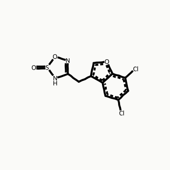 O=S1NC(Cc2coc3c(Cl)cc(Cl)cc23)=NO1